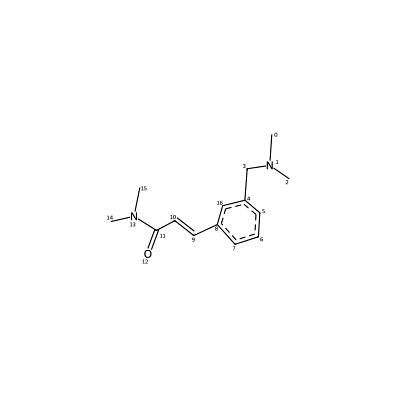 CN(C)Cc1cccc(C=CC(=O)N(C)C)c1